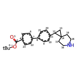 CC(C)(C)OC(=O)c1ccc(-c2ccc(C3CC34CCNCC4)cc2)cc1